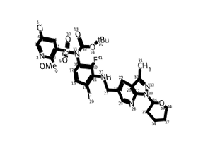 COc1ncc(Cl)cc1S(=O)(=O)N(C(=O)OC(C)(C)C)c1ccc(F)c(NCc2cnc3c(c2)c(C)nn3C2CCCCO2)c1F